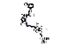 CC(NC(=O)CCC/C=C\C[C@@H]1[C@@H](/C=C/[C@@H](O)COc2cccc(Cl)c2)[C@H](O)C[C@@H]1O)C(=O)OCCON(O)O